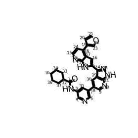 O=C(Nc1cncc(-c2cnc3[nH]nc(-c4cc5c(-c6ccoc6)ccnc5[nH]4)c3c2)c1)C1CCCCC1